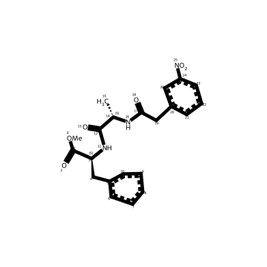 COC(=O)[C@H](Cc1ccccc1)NC(=O)[C@H](C)NC(=O)Cc1cccc([N+](=O)[O-])c1